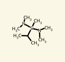 CC(C)[Si](C)(N(C)C)N(C)C